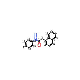 O=C(Cc1cccc2ccccc12)Nc1ccccc1